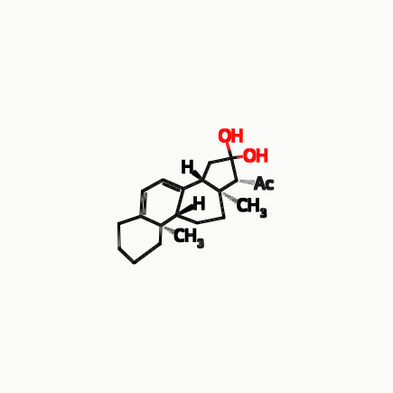 CC(=O)[C@H]1C(O)(O)C[C@H]2C3=CC=C4CCCC[C@]4(C)[C@H]3CC[C@@]21C